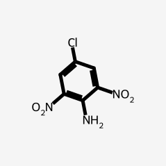 Nc1c([N+](=O)[O-])cc(Cl)cc1[N+](=O)[O-]